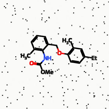 CCc1ccc(OCc2cccc(C)c2NC(=O)OC)c(C)c1